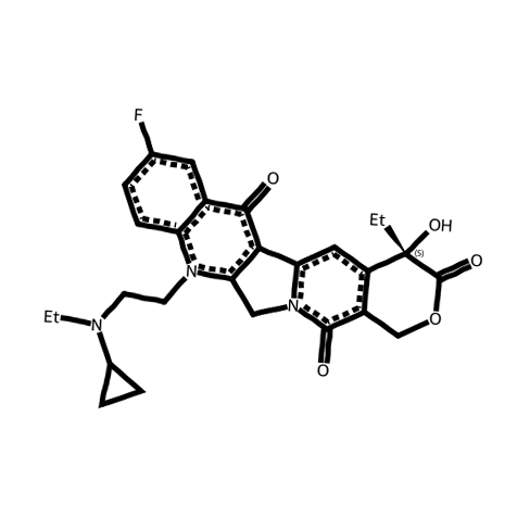 CCN(CCn1c2c(c(=O)c3cc(F)ccc31)-c1cc3c(c(=O)n1C2)COC(=O)[C@]3(O)CC)C1CC1